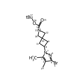 Cc1c(I)c(Br)nn1C1CC2(C1)CN(C(=O)OC(C)(C)C)C2